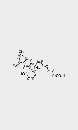 O=C(O)CCCOc1cnc(N(Cc2cc(C(F)(F)F)cc(C(F)(F)F)c2)[C@@H](c2ccccc2O)C(F)(F)F)nc1